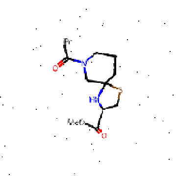 COC(=O)[C@@H]1CSC2(CCCN(C(=O)C(C)C)C2)N1